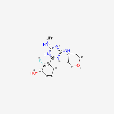 CC(C)Nc1nc(NC2CCOCC2)nc(C2=C(F)C(O)CCC2)n1